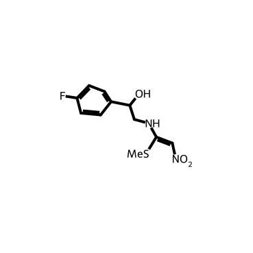 CS/C(=C\[N+](=O)[O-])NCC(O)c1ccc(F)cc1